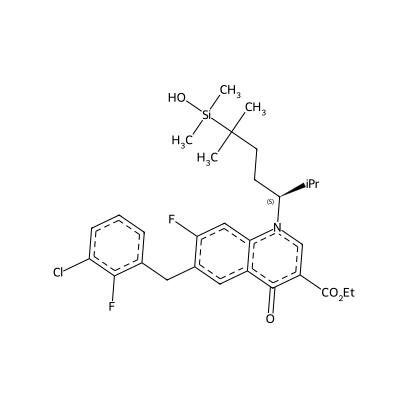 CCOC(=O)c1cn([C@@H](CCC(C)(C)[Si](C)(C)O)C(C)C)c2cc(F)c(Cc3cccc(Cl)c3F)cc2c1=O